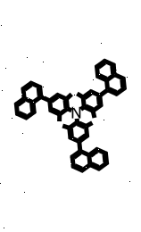 Cc1cc(-c2cccc3ccccc23)cc(C)c1N(c1c(C)cc(-c2cccc3ccccc23)cc1C)c1c(C)cc(-c2cccc3ccccc23)cc1C